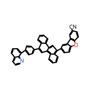 N#Cc1ccc2oc3ccc(-c4cc5c6ccccc6c(-c6ccc(-c7cccc8cccnc78)cc6)cc5c5ccccc45)cc3c2c1